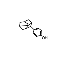 Oc1ccc(C2C3CC4CC(C3)CC2C4)cc1